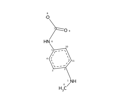 CNc1ccc(NC([O])=O)cc1